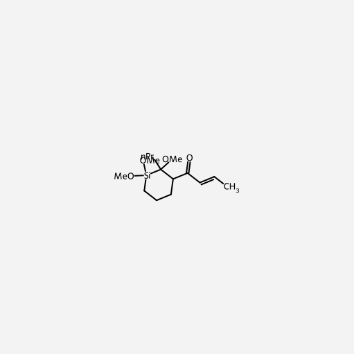 CC=CC(=O)C1CCC[Si](OC)(OC)C1(CCC)OC